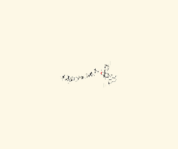 CCc1c(F)ccc2cc(O)cc(-c3ncc4c(N5CCC[C@@](C)(O)C5)nc(OCC5(CN6CC(N7CCC8(CC7)CN(c7ccc9c(c7)CN(C7CCC(=O)NC7=O)C9=O)C8)C6)CC5)nc4c3F)c12